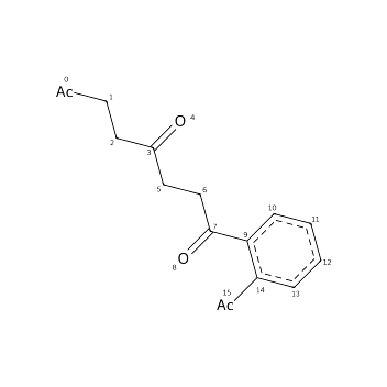 CC(=O)CCC(=O)CCC(=O)c1ccccc1C(C)=O